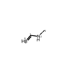 B=CNC